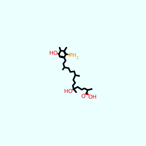 CC1=C(P)C(CCC(C)CCCC(C)CCCC(C)(O)CCCC(C)C(=O)O)=CC(O)C1C